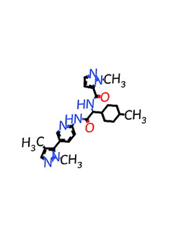 Cc1cnn(C)c1-c1ccc(NC(=O)[C@@H](NC(=O)c2ccnn2C)C2CCC(C)CC2)nc1